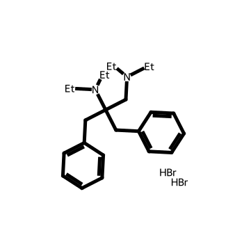 Br.Br.CCN(CC)CC(Cc1ccccc1)(Cc1ccccc1)N(CC)CC